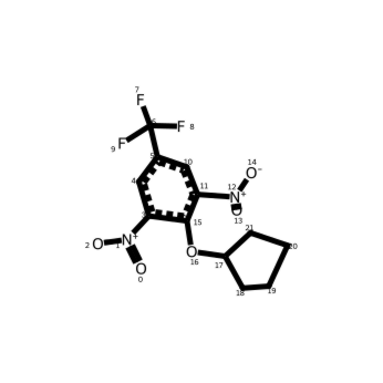 O=[N+]([O-])c1cc(C(F)(F)F)cc([N+](=O)[O-])c1OC1CCCC1